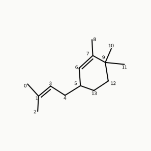 CC(C)=CCC1C=C(C)C(C)(C)CC1